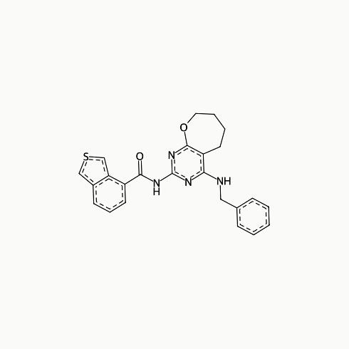 O=C(Nc1nc(NCc2ccccc2)c2c(n1)OCCCC2)c1cccc2cscc12